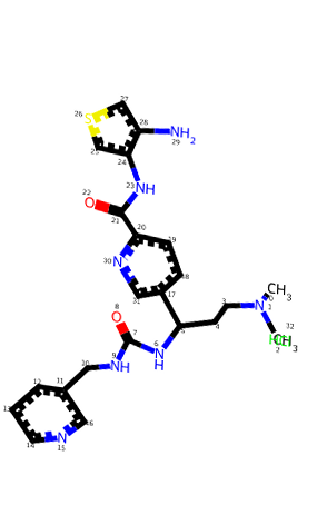 CN(C)CCC(NC(=O)NCc1cccnc1)c1ccc(C(=O)Nc2cscc2N)nc1.Cl